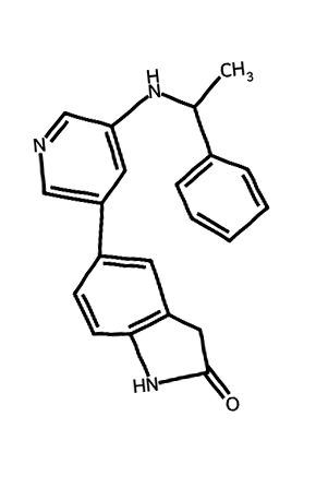 CC(Nc1cncc(-c2ccc3c(c2)CC(=O)N3)c1)c1ccccc1